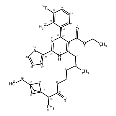 CCOC(=O)C1=C(CC(C)CCCC(=O)C(C)C23CC(CO)(C2)C3)NC(c2nccs2)=N[C@H]1c1cccc(F)c1C